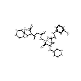 CC(CC(=O)ONC(=O)[C@H](CC1CCCCC1)NC(=O)OCc1cccc(Cl)c1)C1CC2(CCCCC2)NC1=O